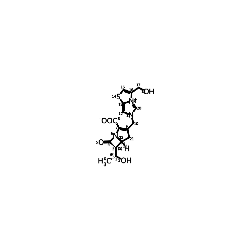 C[C@@H](O)[C@H]1C(=O)N2C(C(=O)[O-])=C(Cn3cc4scc(CO)[n+]4c3)C[C@H]12